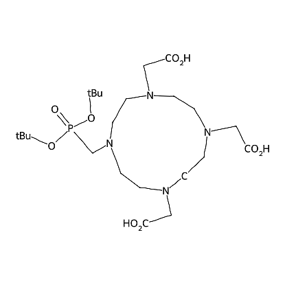 CC(C)(C)OP(=O)(CN1CCN(CC(=O)O)CCN(CC(=O)O)CCN(CC(=O)O)CC1)OC(C)(C)C